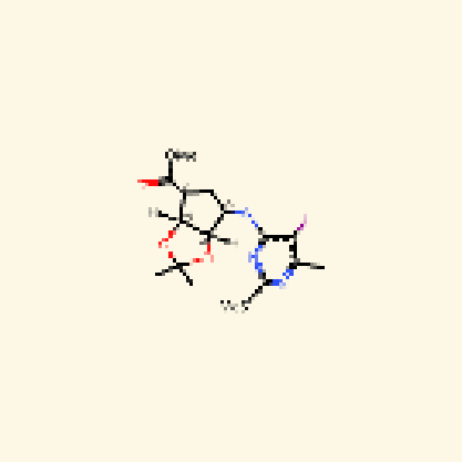 COC(=O)[C@H]1C[C@@H](Nc2nc(SC)nc(C)c2I)[C@@H]2OC(C)(C)O[C@@H]21